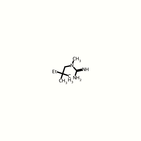 CCC(C)(C)CN(C)C(=N)N